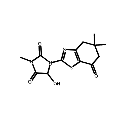 CN1C(=O)C(O)N(c2nc3c(s2)C(=O)CC(C)(C)C3)C1=O